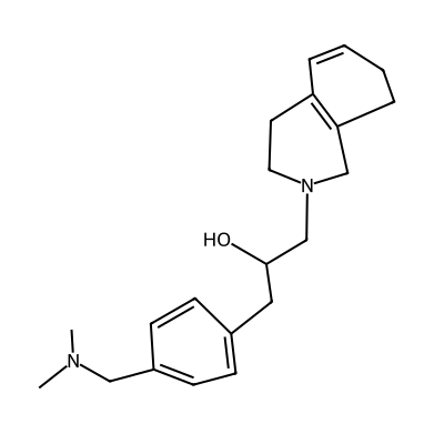 CN(C)Cc1ccc(CC(O)CN2CCC3=C(CCC=C3)C2)cc1